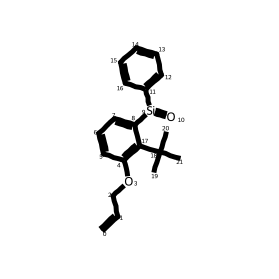 C=CCOc1cccc([Si](=O)c2ccccc2)c1C(C)(C)C